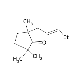 CC/C=C/CC1(C)CCC(C)(C)C1=O